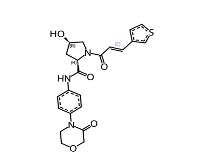 O=C(Nc1ccc(N2CCOCC2=O)cc1)[C@H]1C[C@@H](O)CN1C(=O)/C=C/c1ccsc1